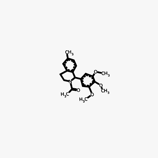 COc1cc(C2c3ccc(C)cc3CCN2C(C)=O)cc(OC)c1OC